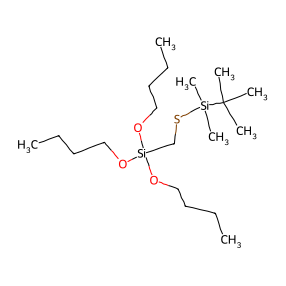 CCCCO[Si](CS[Si](C)(C)C(C)(C)C)(OCCCC)OCCCC